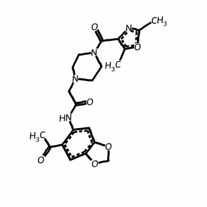 CC(=O)c1cc2c(cc1NC(=O)CN1CCN(C(=O)c3nc(C)oc3C)CC1)OCO2